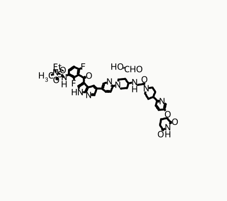 CCN(C)S(=O)(=O)Nc1ccc(F)c(C(=O)c2c[nH]c3ncc(-c4ccc(N5CCC(NCC(=O)N6CCC(c7ccc(OC8CCC(=O)NC8=O)cn7)CC6)CC5)nc4)cc23)c1F.O=CO